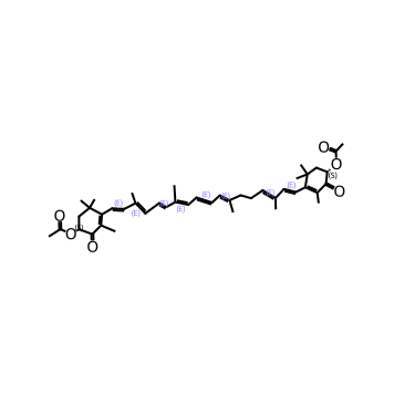 CC(=O)O[C@H]1CC(C)(C)C(/C=C/C(C)=C/C=C/C(C)=C/C=C/C=C(\C)CC/C=C(C)/C=C/C2=C(C)C(=O)[C@@H](OC(C)=O)CC2(C)C)=C(C)C1=O